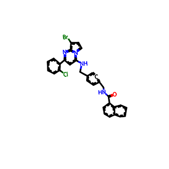 O=C(NCc1ccc(CNc2cc(-c3ccccc3Cl)nc3c(Br)ccn23)cc1)c1cccc2ccccc12